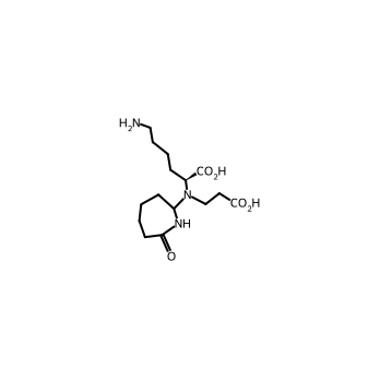 NCCCC[C@@H](C(=O)O)N(CCC(=O)O)C1CCCCC(=O)N1